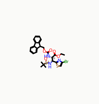 CCOC(=O)[C@@H](NC(=O)OCC1c2ccccc2-c2ccccc21)[C@H](N[S@@+]([O-])C(C)(C)C)c1nc(Br)cs1